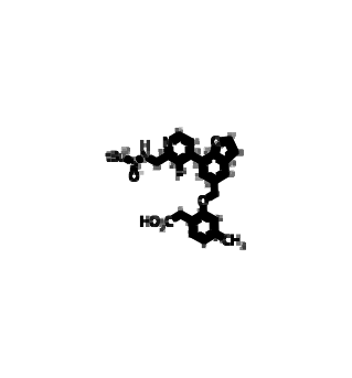 Cc1ccc(CC(=O)O)c(OCc2cc(-c3ccnc(CN[S+]([O-])C(C)(C)C)c3F)c3occc3c2)c1